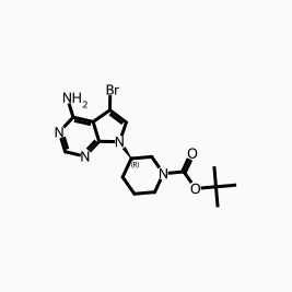 CC(C)(C)OC(=O)N1CCC[C@@H](n2cc(Br)c3c(N)ncnc32)C1